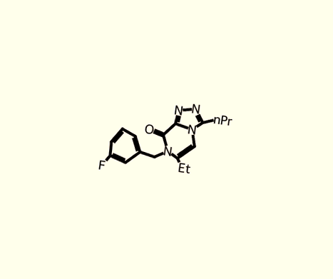 CCCc1nnc2c(=O)n(Cc3cccc(F)c3)c(CC)cn12